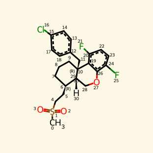 CS(=O)(=O)CC[C@H]1CCC[C@]2(Cc3ccc(Cl)cc3)c3c(F)ccc(F)c3OC[C@H]12